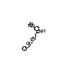 [O-][S+](Cc1ccccc1)C[C@@H]1CCN(CCc2c[nH]c3ccc(-n4cnnc4)cc23)C1